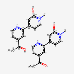 COC(=O)c1ccnc(-c2ccn(C)c(=O)c2)c1.COC(=O)c1ccnc(-c2ccn(C)c(=O)c2)c1